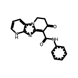 O=C1CCn2c(nc3c2=CC=CN3)=C1C(=O)Nc1ccccc1